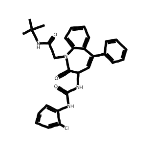 CC(C)(C)NC(=O)CN1C(=O)C(NC(=O)Nc2ccccc2Cl)C=C(c2ccccc2)c2ccccc21